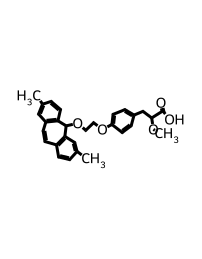 COC(Cc1ccc(OCCOC2c3ccc(C)cc3C=Cc3ccc(C)cc32)cc1)C(=O)O